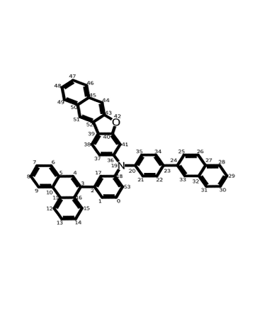 c1cc(-c2cc3ccccc3c3ccccc23)cc(N(c2ccc(-c3ccc4ccccc4c3)cc2)c2ccc3c(c2)oc2cc4ccccc4cc23)c1